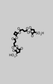 O=C(CCC(=O)ON1C(=O)CC(S(=O)(=O)O)C1=O)OC1CCC1OC(=O)CCC(=O)ON1C(=O)CC(S(=O)(=O)O)C1=O